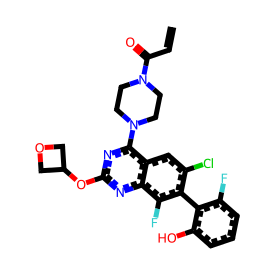 C=CC(=O)N1CCN(c2nc(OC3COC3)nc3c(F)c(-c4c(O)cccc4F)c(Cl)cc23)CC1